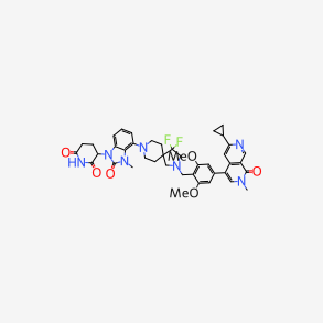 COc1cc(-c2cn(C)c(=O)c3cnc(C4CC4)cc23)cc(OC)c1CN1CC(F)(F)C2(CCN(c3cccc4c3n(C)c(=O)n4C3CCC(=O)NC3=O)CC2)C1